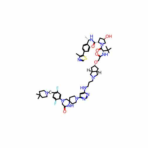 Cc1ncsc1-c1ccc([C@H](C)NC(=O)[C@@H]2C[C@@H](O)CN2C(=O)[C@@H](NC(=O)CO[C@@H]2C[C@@H]3CN(CCCNc4cc(N5CCC6(CC5)CN(c5cc(F)c(CN7CCC(C)(C)CC7)cc5F)CC(=O)N6)ncn4)C[C@@H]3C2)C(C)(C)C)cc1